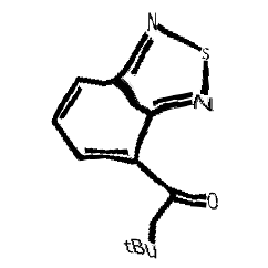 CC(C)(C)C(=O)c1cccc2nsnc12